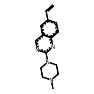 C=Cc1ccc2nc(N3CCN(C)CC3)ncc2c1